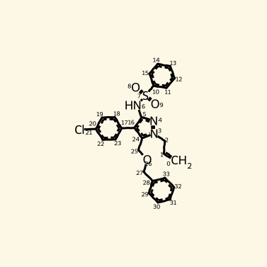 C=CCn1nc(NS(=O)(=O)c2ccccc2)c(-c2ccc(Cl)cc2)c1COCc1ccccc1